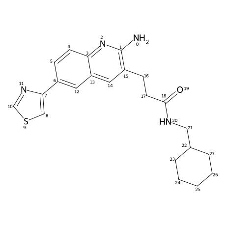 Nc1nc2ccc(-c3cscn3)cc2cc1CCC(=O)NCC1CCCCC1